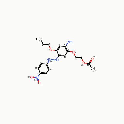 CCCOc1cc(N)c(OCCOC(C)=O)cc1NNc1ccc([N+](=O)[O-])cc1